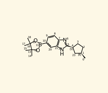 C[C@@H]1CC[C@H](c2nc3ccc(B4OC(C)(C)C(C)(C)O4)cc3[nH]2)C1